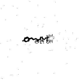 CCn1c(CC[C@@](C)(N)CO)ccc1C(=O)CCCc1ccc(C)cc1